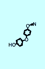 N#COc1ccc(Oc2ccc(O)cc2)cc1